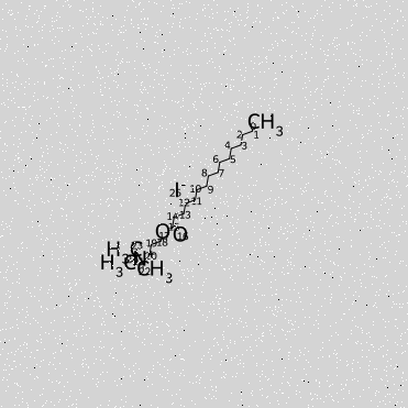 CCCCCCCCCCCCCCCC(=O)OCCC[N+](C)(C)C.[I-]